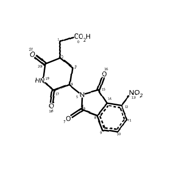 O=C(O)CC1CC(N2C(=O)c3cccc([N+](=O)[O-])c3C2=O)C(=O)NC1=O